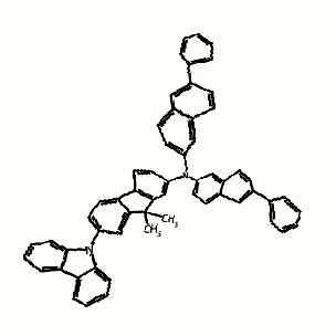 CC1(C)c2cc(N(c3ccc4cc(-c5ccccc5)ccc4c3)c3ccc4cc(-c5ccccc5)ccc4c3)ccc2-c2ccc(-n3c4ccccc4c4ccccc43)cc21